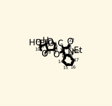 CCOC(=O)c1c(O[C@H]2CO[C@H]3C2OC[C@@H]3O)c2ccccc2n(CC)c1=O